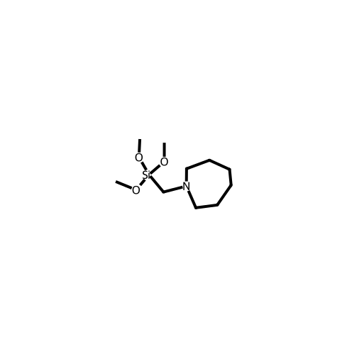 CO[Si](CN1CCCCCC1)(OC)OC